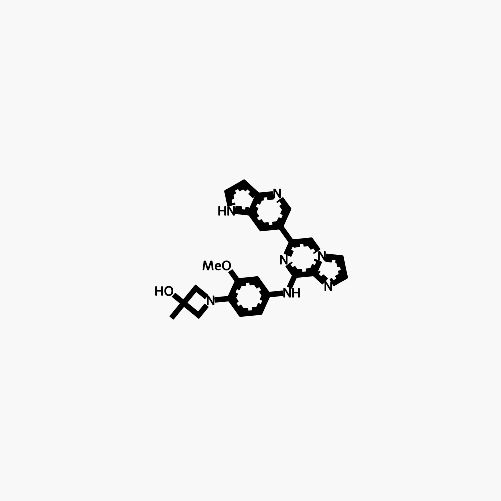 COc1cc(Nc2nc(-c3cnc4cc[nH]c4c3)cn3ccnc23)ccc1N1CC(C)(O)C1